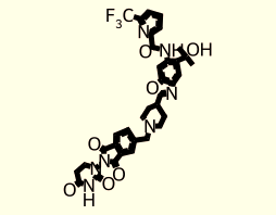 CC(C)(O)c1cc2nc(C3CCN(Cc4ccc5c(c4)C(=O)N(N4CCC(=O)NC4=O)C5=O)CC3)oc2cc1NC(=O)c1cccc(C(F)(F)F)n1